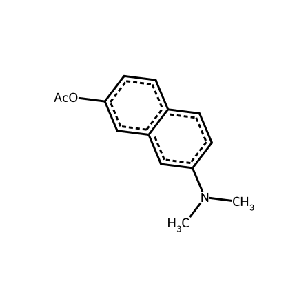 CC(=O)Oc1ccc2ccc(N(C)C)cc2c1